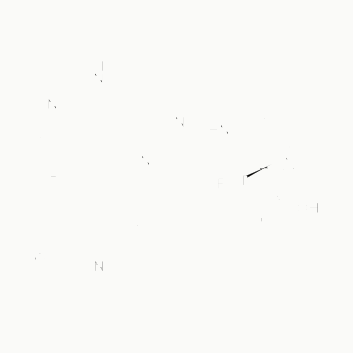 O=C(O)[C@H]1C2CCC(CC2)[C@@H]1Nc1nc(-c2c[nH]c3ncc(F)cc23)nc(-c2ccc(CN3CCOCC3)s2)c1F